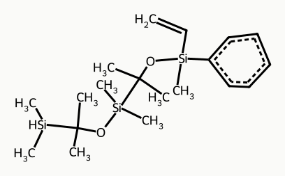 C=C[Si](C)(OC(C)(C)[Si](C)(C)OC(C)(C)[SiH](C)C)c1ccccc1